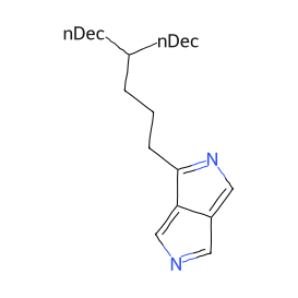 CCCCCCCCCCC(CCCCCCCCCC)CCCC1=NC=C2C=NC=C21